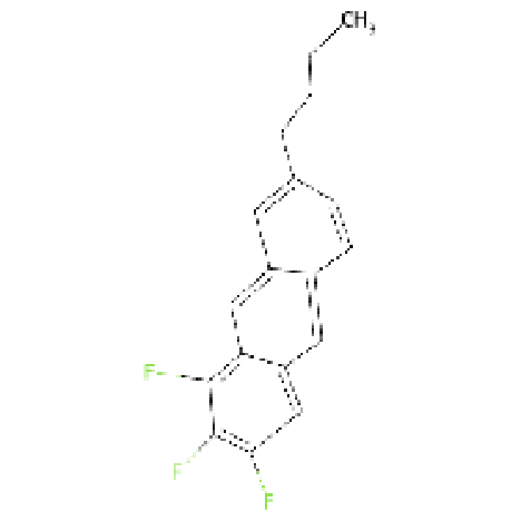 CCCCc1ccc2cc3cc(F)c(F)c(F)c3cc2c1